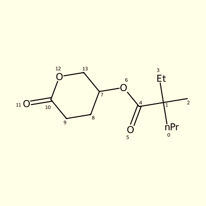 CCCC(C)(CC)C(=O)OC1CCC(=O)OC1